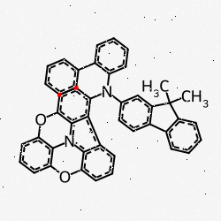 CC1(C)c2ccccc2-c2ccc(N(c3ccccc3-c3ccccc3)c3ccc4c5c3c3cccc6c3n5-c3c(cccc3O4)O6)cc21